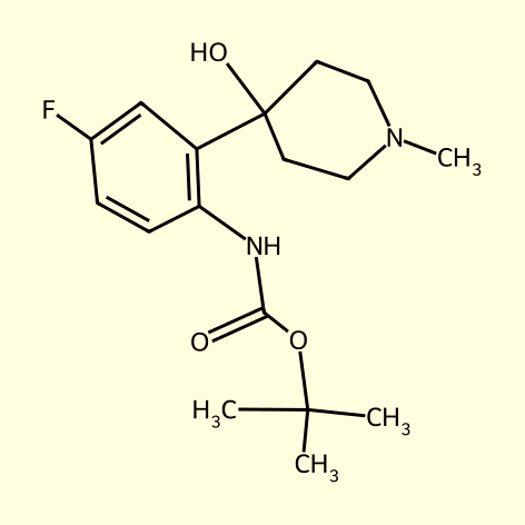 CN1CCC(O)(c2cc(F)ccc2NC(=O)OC(C)(C)C)CC1